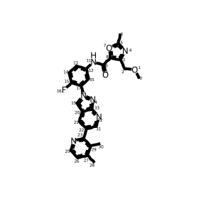 COCc1nc(C)oc1C(=O)Nc1ccc(F)c(-n2cc3cc(-c4nccc(C)c4C)cnc3n2)c1